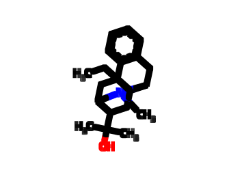 CCC12CC3C(C(C)(C)O)CC1C(Cc1ccccc12)N3C